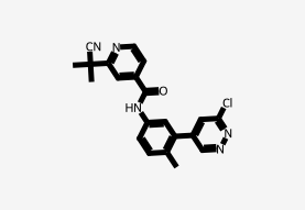 Cc1ccc(NC(=O)c2ccnc(C(C)(C)C#N)c2)cc1-c1cnnc(Cl)c1